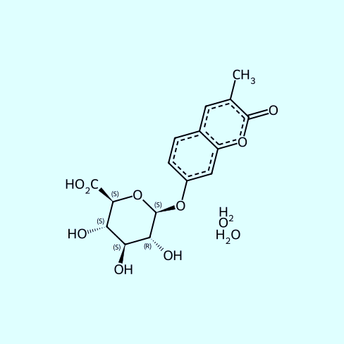 Cc1cc2ccc(O[C@@H]3O[C@H](C(=O)O)[C@@H](O)[C@H](O)[C@H]3O)cc2oc1=O.O.O